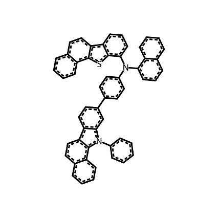 c1ccc(-n2c3cc(-c4ccc(N(c5cccc6ccccc56)c5cccc6c5sc5c7ccccc7ccc65)cc4)ccc3c3ccc4ccccc4c32)cc1